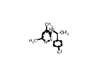 Cc1cc(C)c(N[C@H](C)c2ccc(Cl)cc2)nn1